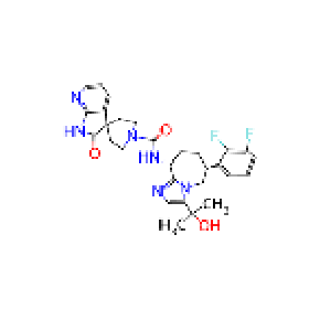 CC(C)(O)c1cnc2n1C[C@H](c1cccc(F)c1F)CC[C@H]2NC(=O)N1CCC2(CC1)C(=O)Nc1ncccc12